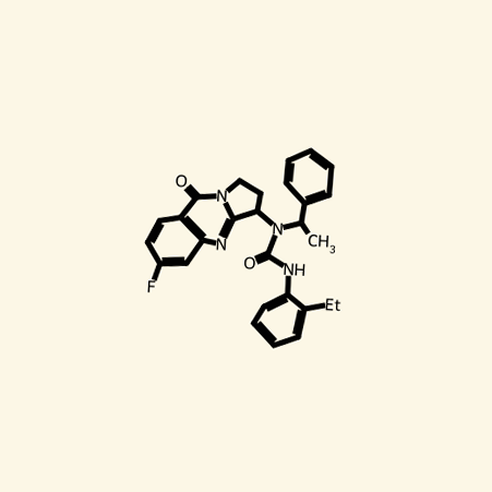 CCc1ccccc1NC(=O)N(C(C)c1ccccc1)C1CCn2c1nc1cc(F)ccc1c2=O